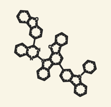 c1ccc(-n2c3ccccc3c3ccc(-c4cc5c6ccccc6oc5c5c4c4ccccc4n5-c4nc(-c5ccc6oc7ccccc7c6c5)c5ccccc5n4)cc32)cc1